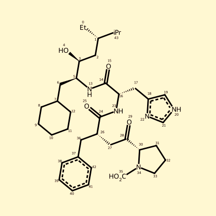 CC[C@@H](C[C@H](O)[C@H](CC1CCCCC1)NC(=O)[C@H](Cc1c[nH]cn1)NC(=O)[C@H](CC(=O)[C@@H]1CCCN1C(=O)O)Cc1ccccc1)C(C)C